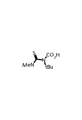 CNC(=S)N(C(=O)O)C(C)(C)C